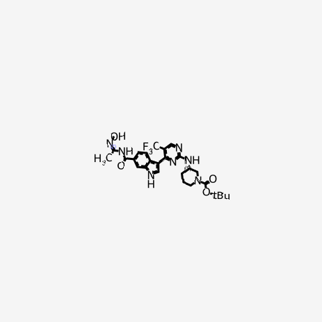 C/C(=N/O)NC(=O)c1ccc2c(-c3nc(N[C@H]4CCCN(C(=O)OC(C)(C)C)C4)ncc3C(F)(F)F)c[nH]c2c1